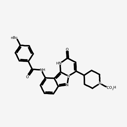 CCCCc1ccc(C(=O)Nc2cccc3nn4c(C5CCN(C(=O)O)CC5)cc(=O)[nH]c4c23)cc1